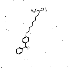 CN(C)CCCCCCCCc1ccc(C(=O)c2ccccc2)cc1